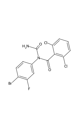 NC(=O)N(C(=O)c1c(Cl)cccc1Cl)c1ccc(Br)c(F)c1